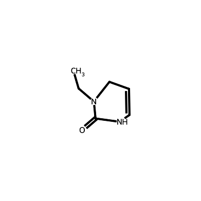 CCN1CC=CNC1=O